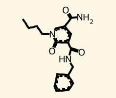 CCCCn1cc(C(N)=O)cc(C(=O)NCc2ccccc2)c1=O